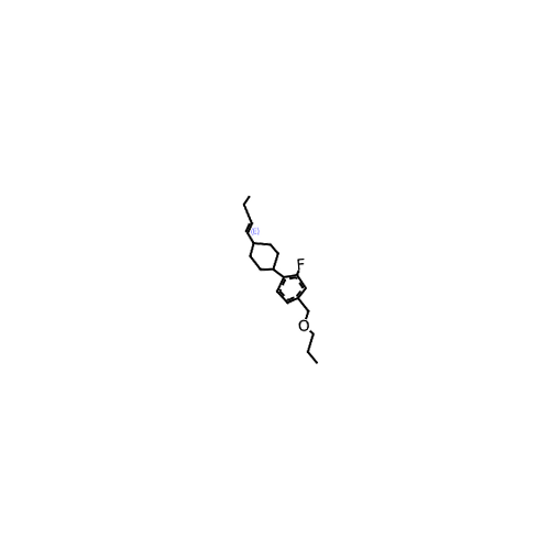 CC/C=C/C1CCC(c2ccc(COCCC)cc2F)CC1